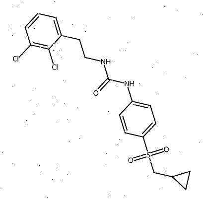 O=C(NCCc1cccc(Cl)c1Cl)Nc1ccc(S(=O)(=O)CC2CC2)cc1